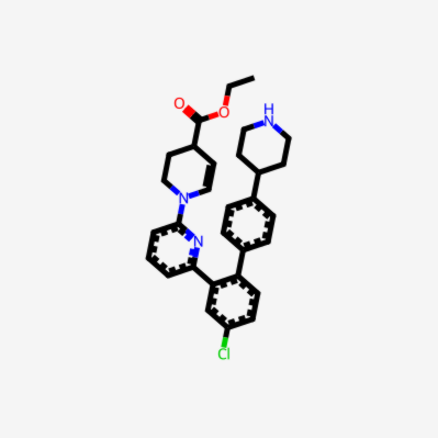 CCOC(=O)C1C=CN(c2cccc(-c3cc(Cl)ccc3-c3ccc(C4CCNCC4)cc3)n2)CC1